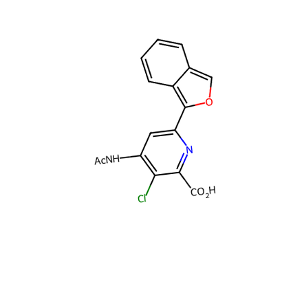 CC(=O)Nc1cc(-c2occ3ccccc23)nc(C(=O)O)c1Cl